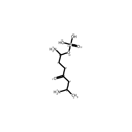 CC(N)CC(=O)CCC(N)OP(=O)(O)O